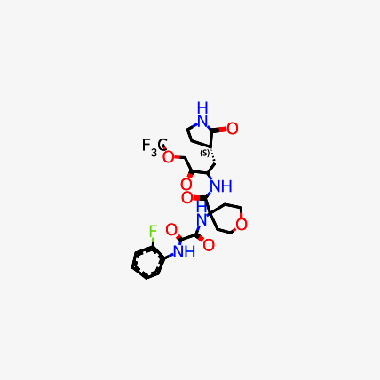 O=C(Nc1ccccc1F)C(=O)NC1(C(=O)NC(C[C@@H]2CCNC2=O)C(=O)COC(F)(F)F)CCOCC1